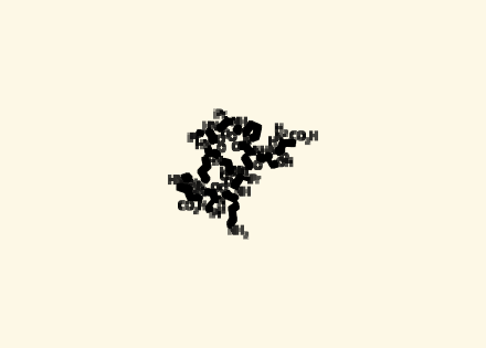 CC(C)C[C@H](NC(=O)[C@H](CCCCN)NC(=O)[C@@H](NC(=O)CNC(=O)[C@H](CCCCN)NC(=O)[C@H](CC(C)C)NC(=O)[C@@H](NC(=O)[C@@H]1CCCN1C(=O)[C@H](CCC(=O)O)NC(=O)[C@H](CO)NC(=O)[C@@H](N)CC(=O)O)C(C)C)C(C)C)C(=O)N[C@@H](Cc1c[nH]cn1)C(=O)O